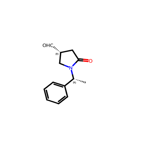 C[C@H](c1ccccc1)N1C[C@H](C=O)CC1=O